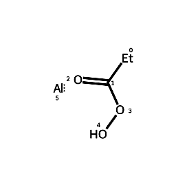 CCC(=O)OO.[Al]